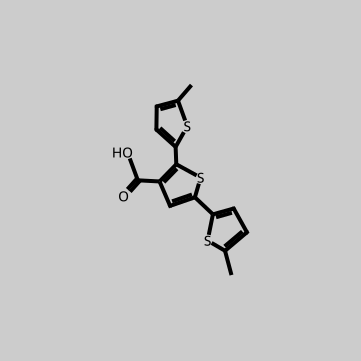 Cc1ccc(-c2cc(C(=O)O)c(-c3ccc(C)s3)s2)s1